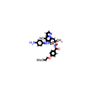 COCCOc1ccc(C(=O)[N]OC(C)(C)Cc2c(C)c(NC3CCC(N)CC3)c(C#N)c3ccnn23)cc1